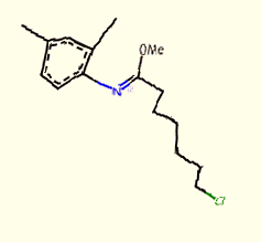 CO/C(CCCCCCCl)=N\c1ccc(C)cc1C